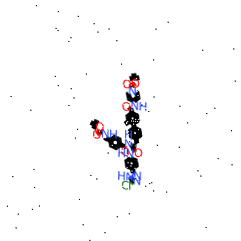 Cc1cc(C(=O)NC2CCN(C(=O)OC(C)(C)C)CC2)ccc1-c1ccc(C[C@H](NC(=O)C2CCC(CNC(=O)OC(C)(C)C)CC2)C(=O)Nc2ccc(-c3nnc(Cl)[nH]3)cc2)cc1